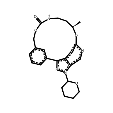 C[C@@H]1CCNC(=O)OCc2cccc(c2)-c2nn(C3CCCCO3)c3cnc(cc23)O1